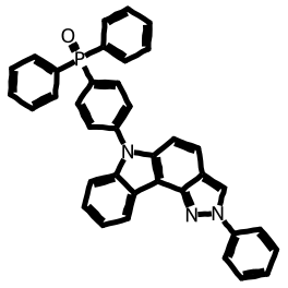 O=P(c1ccccc1)(c1ccccc1)c1ccc(-n2c3ccccc3c3c4nn(-c5ccccc5)cc4ccc32)cc1